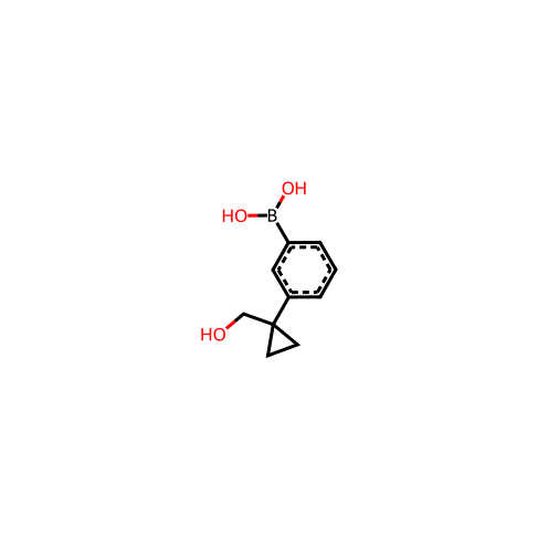 OCC1(c2cccc(B(O)O)c2)CC1